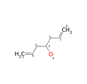 C=CCC([O])CC=C